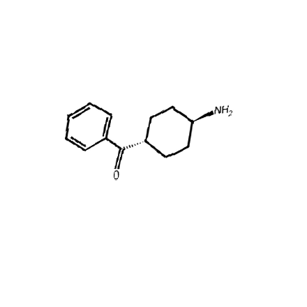 N[C@H]1CC[C@H](C(=O)c2ccccc2)CC1